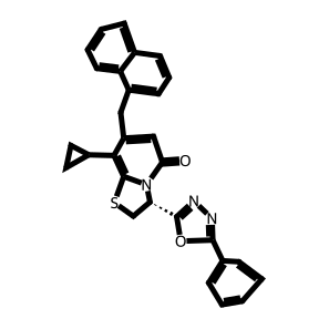 O=c1cc(Cc2cccc3ccccc23)c(C2CC2)c2n1[C@H](c1nnc(-c3ccccc3)o1)CS2